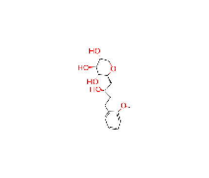 COc1ccccc1CC[C@@H](O)C[C@@H]1OC[C@@H](O)[C@H](O)[C@H]1O